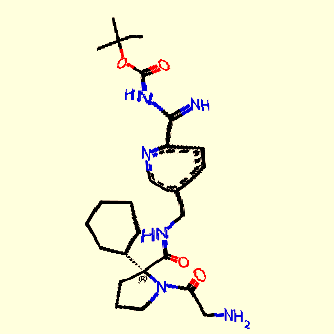 CC(C)(C)OC(=O)NC(=N)c1ccc(CNC(=O)[C@]2(C3CCCCC3)CCCN2C(=O)CN)cn1